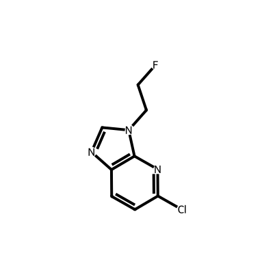 FCCn1cnc2ccc(Cl)nc21